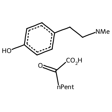 CCCCCC(=O)C(=O)O.CNCCc1ccc(O)cc1